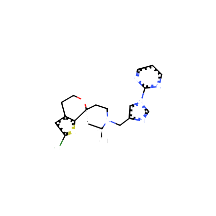 C[C@H]1C[C@@]2(CCN1Cc1cn(-c3ncccn3)cn1)OCCc1cc(Cl)sc12